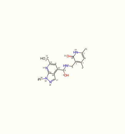 Cc1cc(C)c(CNC(O)c2cc(C(=O)O)nc3c2cnn3C(C)C)c(=O)[nH]1